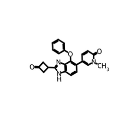 Cn1cc(-c2ccc3[nH]c(C4CC(=O)C4)nc3c2Oc2ccccc2)ccc1=O